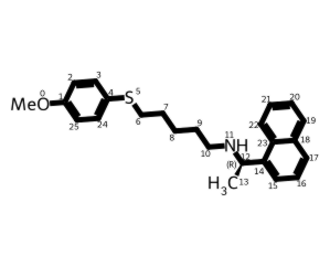 COc1ccc(SCCCCCN[C@H](C)c2cccc3ccccc23)cc1